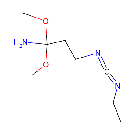 CCN=C=NCCC(N)(OC)OC